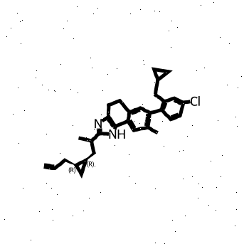 C=CC[C@@H]1C[C@@H]1CC(C)c1nc2c([nH]1)-c1cc(C)c(-c3ccc(Cl)cc3CC3CC3)cc1CC2